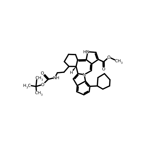 COC(=O)c1c[nH]c2c1=Cn1c(cc3cccc(C4CCCCC4)c31)[C@H]1C=2CCCC1CCNC(=O)OC(C)(C)C